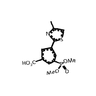 COP(=O)(OC)c1cc(C(=O)O)cc(-c2nc(C)cs2)c1